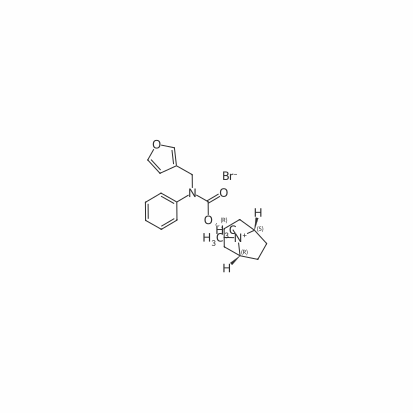 C[N+]1(C)[C@@H]2CC[C@H]1C[C@@H](OC(=O)N(Cc1ccoc1)c1ccccc1)C2.[Br-]